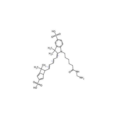 CC1(C)\C(=C/C=C/C=C/C2C3C=C(S(=O)(=O)O)C=C3C2(C)C)N(CCCCCC(=O)NCN)c2ccc(S(=O)(=O)O)cc21